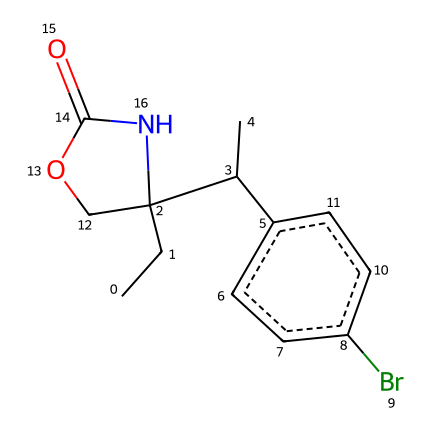 CCC1(C(C)c2ccc(Br)cc2)COC(=O)N1